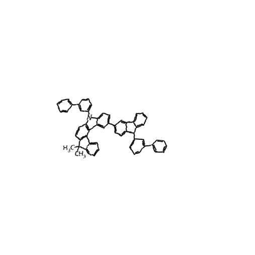 CC1(C)c2ccccc2-c2c1ccc1c2c2cc(-c3ccc4c(c3)-c3ccccc3C4c3cccc(-c4ccccc4)c3)ccc2n1-c1cccc(-c2ccccc2)c1